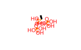 C=CP(=O)(O)O.O=P(O)(O)O.O=P(O)(O)O